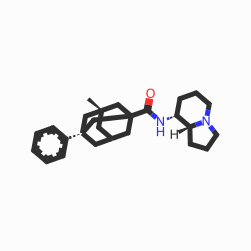 C[C@]12CC3CC(C(=O)N[C@@H]4CCCN5CCC[C@H]45)(C1)C[C@@](c1ccccc1)(C3)C2